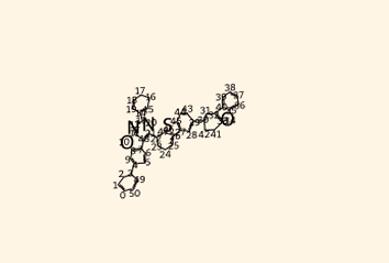 C1=CCC(c2ccc3c(c2)oc2nc(C4=CCCC=C4)nc(C4CCC=C5c6cc(C7=Cc8c(oc9ccccc89)CC7)ccc6SC54)c23)C=C1